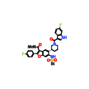 CCS(=O)(=O)Nc1cc2oc(-c3ccc(F)cc3)c(C(=O)NC)c2cc1[C@H]1CCCN(C(=O)c2c[nH]c3cc(F)ccc23)C1